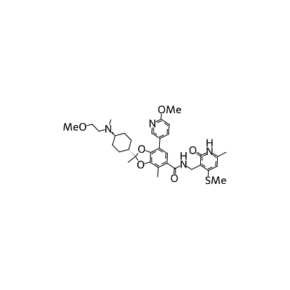 COCCN(C)[C@H]1CC[C@H](C2(C)Oc3c(-c4ccc(OC)nc4)cc(C(=O)NCc4c(SC)cc(C)[nH]c4=O)c(C)c3O2)CC1